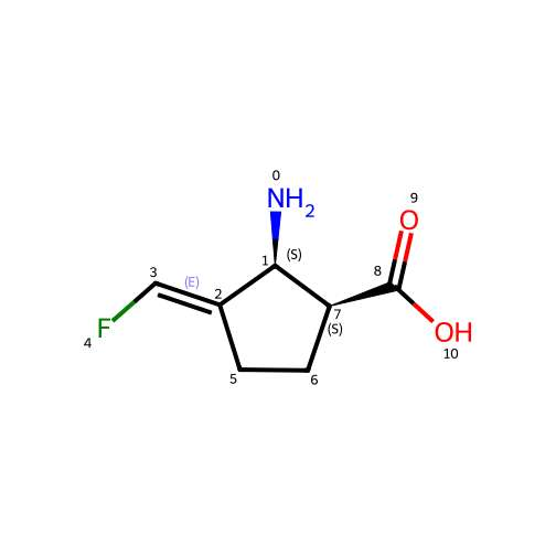 N[C@@H]1/C(=C/F)CC[C@@H]1C(=O)O